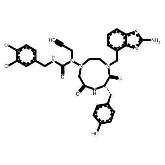 C#CCN(C(=O)NCc1ccc(Cl)c(Cl)c1)N1CCN(Cc2cccc3sc(N)nc23)C(=O)[C@H](Cc2ccc(O)cc2)NC(=O)C1